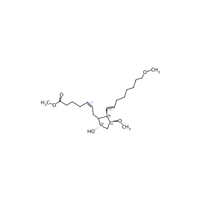 COCCCCCC/C=C/[C@@H]1C(C/C=C\CCCC(=O)OC)[C@@H](O)C[C@@H]1OC